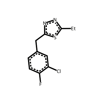 CCc1nnc(Cc2ccc(F)c(Cl)c2)s1